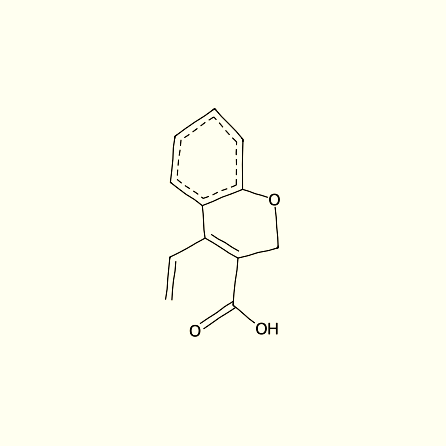 C=CC1=C(C(=O)O)COc2ccccc21